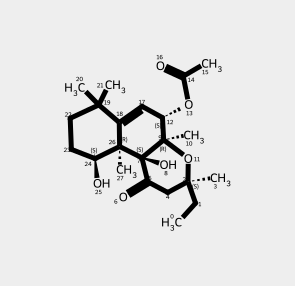 CC[C@@]1(C)CC(=O)[C@@]2(O)[C@](C)(O1)[C@@H](OC(C)=O)C=C1C(C)(C)CC[C@H](O)[C@@]12C